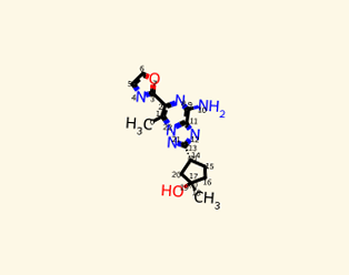 Cc1c(-c2ncco2)nc(N)c2nc([C@@H]3CC[C@](C)(O)C3)nn12